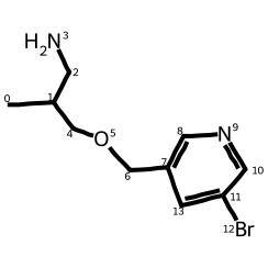 CC(CN)COCc1cncc(Br)c1